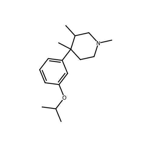 CC(C)Oc1cccc(C2(C)CCN(C)CC2C)c1